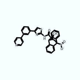 CC1(C(=O)Nc2nc(-c3cccc(-c4ccncc4)c3)cs2)CC2([N+](=O)[O-])c3ccccc3C1c1ccccc12